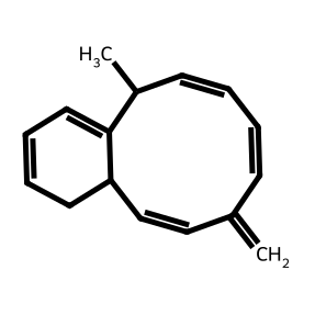 C=C1/C=C\C=C/C(C)C2=CC=CCC2/C=C\1